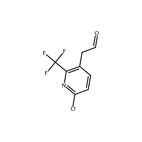 O=CCc1ccc(Cl)nc1C(F)(F)F